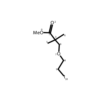 COC(=O)C(C)(C)COCCI